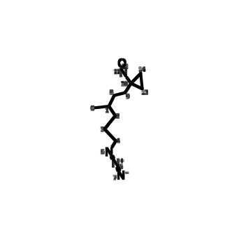 CC(CCCN=[N+]=[N-])CCC1(N=O)CC1